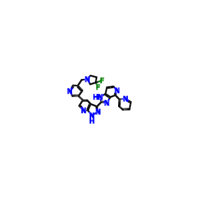 FC1(F)CCN(Cc2cncc(-c3cnc4[nH]nc(-c5nc6c(-c7ccccn7)nccc6[nH]5)c4c3)c2)C1